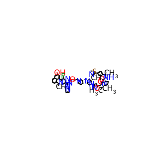 CCc1cccc2cc(O)cc(-c3ncc4c(N5CC6CCC(C5)N6)nc(OCCN5CCC[C@@H](CN6CCN(c7cc([C@H](C(=O)N8CCC[C@H]8C(=O)N[C@@H](C)c8ccc(-c9scnc9C)cc8)C(C)C)on7)CC6)C5)nc4c3F)c12